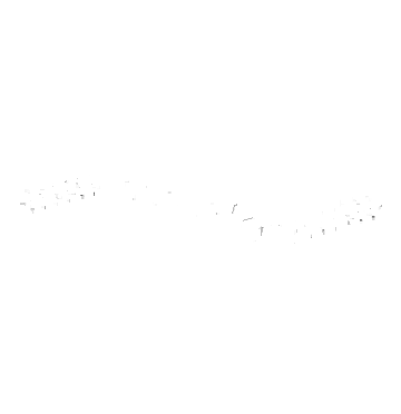 O=C(C=CC(=O)OCC(F)(F)C(F)(F)C(F)(F)C(F)(F)C(F)(F)C(F)(F)C(F)(F)F)OCCCCCCCCCCCC(F)(F)C(F)(F)C(F)(F)C(F)(F)C(F)(F)C(F)(F)F